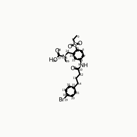 CCS(=O)(=O)c1ccc(NC(=O)CCCc2ccc(Br)cc2)cc1CN(C)C(=O)O